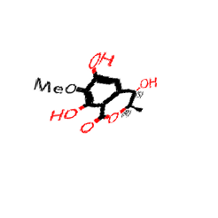 COc1c(O)cc2c(c1O)C(=O)O[C@H](C)[C@H]2O